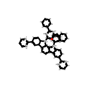 C1=CC2C(C=C1c1ncccn1)c1ccc3c4cc(-c5ncccn5)ccc4n(-c4ccccc4)c3c1N2c1nc(-c2ccccc2)nc(-c2ccccc2)n1